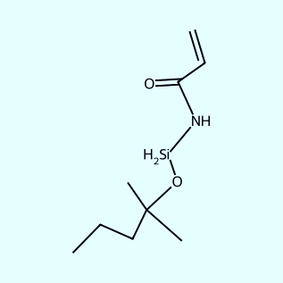 C=CC(=O)N[SiH2]OC(C)(C)CCC